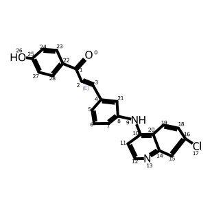 O=C(/C=C/c1cccc(Nc2ccnc3cc(Cl)ccc23)c1)c1ccc(O)cc1